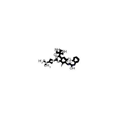 Cc1ccccc1/C=C(O)\C=C\c1c(Cl)cc2c(C3(C(N)=O)CNC3)nc(N3CC(N(C)C)C3)nc2c1F